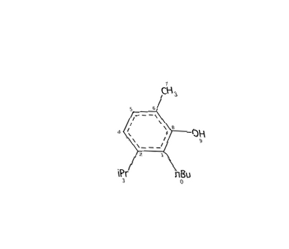 CCCCc1c(C(C)C)ccc(C)c1O